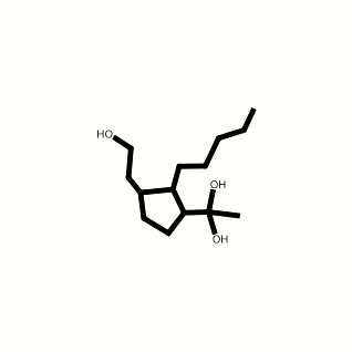 CCCCCC1C(CCO)CCC1C(C)(O)O